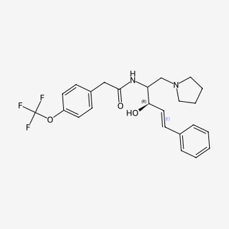 O=C(Cc1ccc(OC(F)(F)F)cc1)NC(CN1CCCC1)[C@H](O)/C=C/c1ccccc1